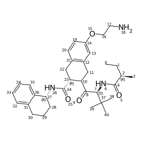 CC[C@@H](C)C(=O)N[C@H](C(=O)C1Cc2cc(OCCN)ccc2C[C@H]1C(=O)N[C@@H]1CCCc2ccccc21)C(C)(C)C